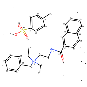 CC[N+](CC)(CCNC(=O)c1ccc2ccccc2c1)Cc1ccccc1.Cc1ccc(S(=O)(=O)[O-])cc1